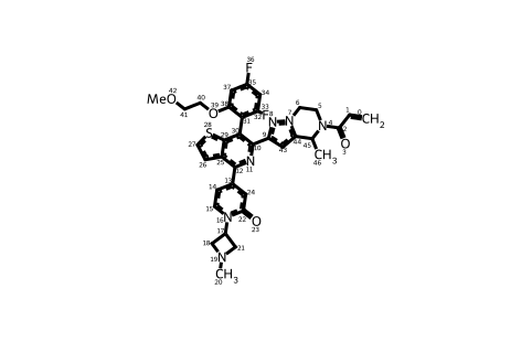 C=CC(=O)N1CCn2nc(-c3nc(-c4ccn(C5CN(C)C5)c(=O)c4)c4ccsc4c3-c3c(F)cc(F)cc3OCCOC)cc2C1C